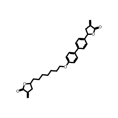 C=C1CC(CCCCCCCOc2ccc(-c3ccc(C4CC(=C)C(=O)O4)cc3)cc2)OC1=O